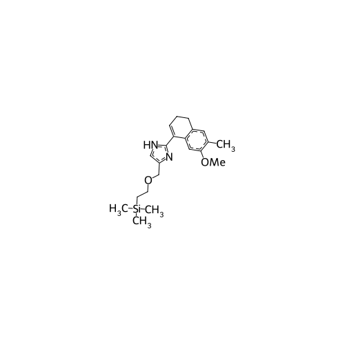 COc1cc2c(cc1C)CCC=C2c1nc(COCC[Si](C)(C)C)c[nH]1